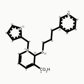 O=C(O)C1=CC=CN(Cc2cccs2)C1SCCCc1cccnc1